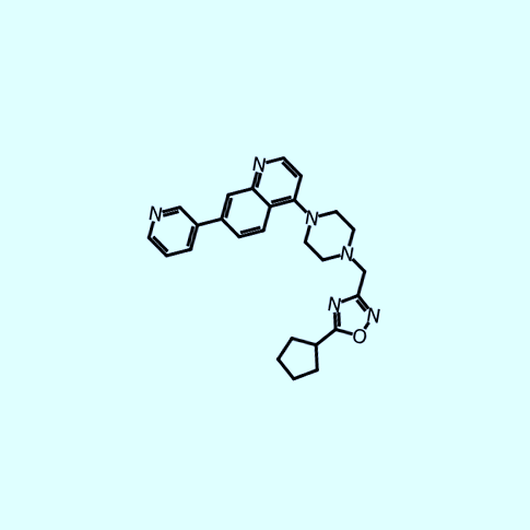 c1cncc(-c2ccc3c(N4CCN(Cc5noc(C6CCCC6)n5)CC4)ccnc3c2)c1